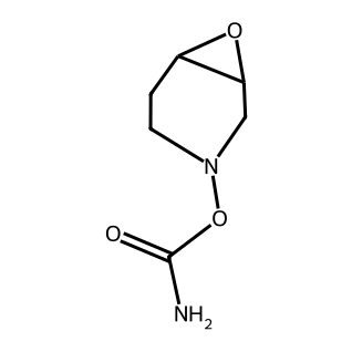 NC(=O)ON1CCC2OC2C1